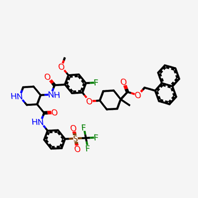 COc1cc(F)c(OC2CCC(C)(C(=O)OCc3cccc4ccccc34)CC2)cc1C(=O)NC1CCNCC1C(=O)Nc1cccc(S(=O)(=O)C(F)(F)F)c1